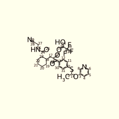 CC(Oc1cccnc1)Sc1ccc(S(=O)(=O)C[C@H]2CCCC[C@@H]2C(=O)NCC#N)cc1.O=C(O)C(F)(F)F